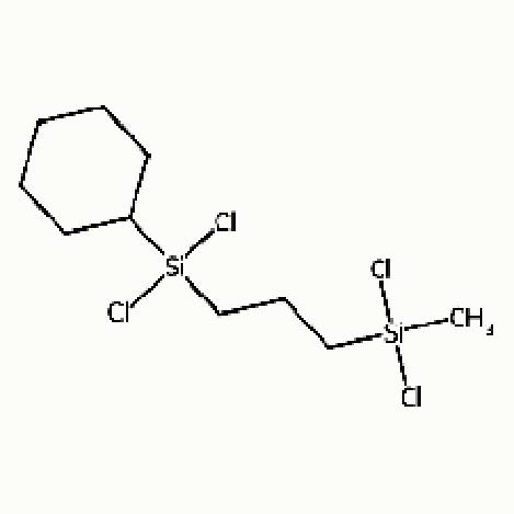 C[Si](Cl)(Cl)CCC[Si](Cl)(Cl)C1CCCCC1